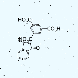 O=C(O)c1cc(C(=O)O)cc(C(=O)O)c1.O=C1OC(=O)c2ccccc21